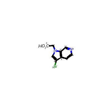 O=C(O)Cn1cc(Br)c2ccncc21